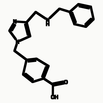 O=C(O)c1ccc(Cn2cnc(CNCc3ccccc3)c2)cc1